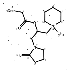 CCCCCCCCCCCC(=O)OC(CN1CCCC1=O)C[N+]1(C)CCCCC1